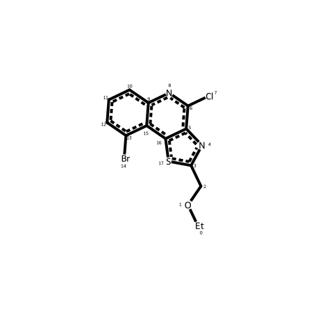 CCOCc1nc2c(Cl)nc3cccc(Br)c3c2s1